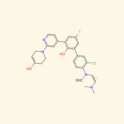 CN(C)/C=C\N(C=O)c1ccc(-c2cc(F)cc(-c3ccnc(N4CC=C(O)CC4)c3)c2O)cc1Cl